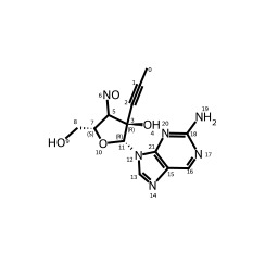 CC#C[C@@]1(O)C(N=O)[C@@H](CO)O[C@H]1n1cnc2cnc(N)nc21